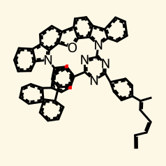 C=C/C=C\C=C(/C)c1ccc(-c2nc(-c3ccc(-c4ccccc4)cc3)nc(-n3c4ccccc4c4ccc5c6ccc7c8ccccc8n(-c8cccc(-c9ccccc9)c8)c7c6oc5c43)n2)cc1